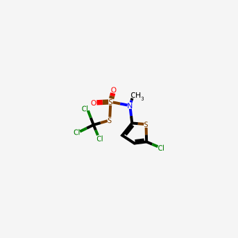 CN(c1ccc(Cl)s1)S(=O)(=O)SC(Cl)(Cl)Cl